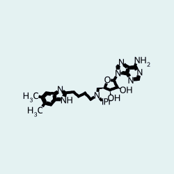 Cc1cc2nc(CCCCN(C[C@H]3OC(n4cnc5c(N)ncnc54)[C@H](O)[C@@H]3O)C(C)C)[nH]c2cc1C